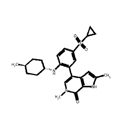 Cc1cc2c(-c3cc(S(=O)(=O)C4CC4)ccc3N[C@H]3CC[C@H](C)CC3)cn(C)c(=O)c2[nH]1